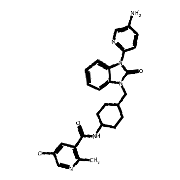 Cc1ncc(Cl)cc1C(=O)NC1CCC(Cn2c(=O)n(-c3ccc(N)cn3)c3ccccc32)CC1